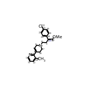 CO/N=C(/CCN1CC=C(c2ncccc2C)CC1)c1ccc(Cl)cc1